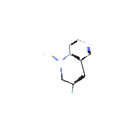 CC(C)N1CC(Cl)=Cc2cnccc21